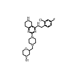 CCN1CCOC(CN2CCN(c3nc4c(c(NCc5ccc(F)cc5Cl)n3)CNCC4)CC2)C1